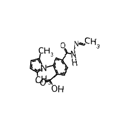 CC=NNC(=O)c1ccc(C(=O)O)c(-n2c(C)ccc2C)c1